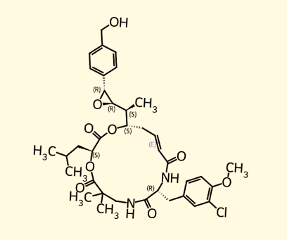 COc1ccc(C[C@H]2NC(=O)/C=C/C[C@@H]([C@H](C)[C@H]3O[C@@H]3c3ccc(CO)cc3)OC(=O)[C@H](CC(C)C)OC(=O)C(C)(C)CNC2=O)cc1Cl